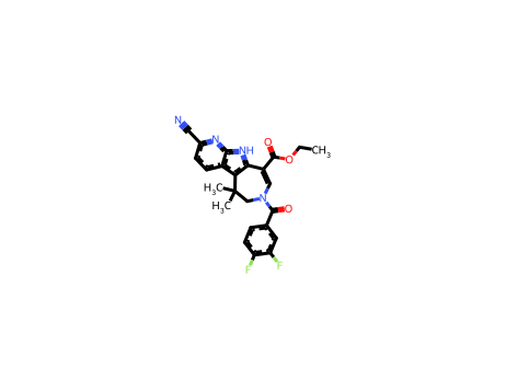 CCOC(=O)C1=CN(C(=O)c2ccc(F)c(F)c2)CC(C)(C)c2c1[nH]c1nc(C#N)ccc21